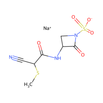 CSC(C#N)C(=O)NC1CN(S(=O)(=O)[O-])C1=O.[Na+]